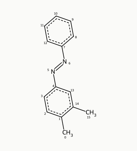 Cc1ccc(N=Nc2ccccc2)cc1C